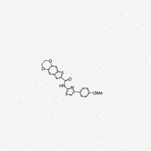 COc1ccc(-c2csc(NC(=O)c3cc4cc5c(cc4s3)OCCO5)n2)cc1